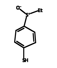 CC[S+]([O-])c1ccc(S)cc1